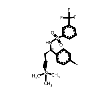 C[Si](C)(C)C#CC[C@@H](NS(=O)(=O)c1cccc(C(F)(F)F)c1)c1ccc(F)cc1